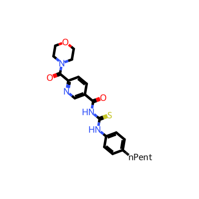 CCCCCc1ccc(NC(=S)NC(=O)c2ccc(C(=O)N3CCOCC3)nc2)cc1